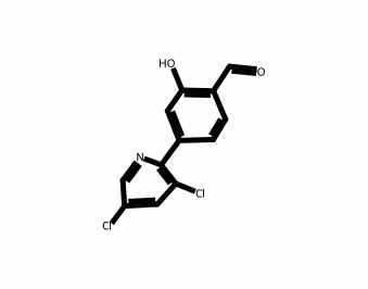 O=Cc1ccc(-c2ncc(Cl)cc2Cl)cc1O